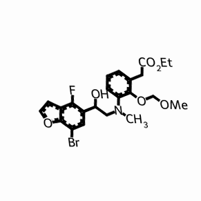 CCOC(=O)Cc1cccc(N(C)CC(O)c2cc(Br)c3occc3c2F)c1OCOC